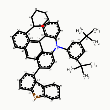 CC(C)(C)c1cc(N(c2ccc(-c3cccc4sc5ccccc5c34)cc2)c2ccccc2C2=c3c(C4CCCCC4)cccc3=CCC2)cc(C(C)(C)C)c1